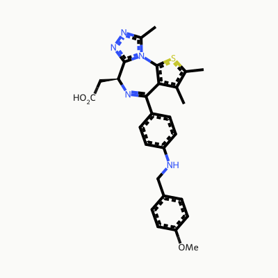 COc1ccc(CNc2ccc(C3=N[C@@H](CC(=O)O)c4nnc(C)n4-c4sc(C)c(C)c43)cc2)cc1